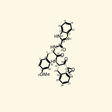 COc1ccc(C[C@H](NC(=O)c2nc3ccccc3[nH]2)C(=O)N[C@@H](Cc2ccccc2)C(=O)[C@H]2CO2)cc1